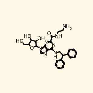 NCCNC(=O)c1nc(NCC(c2ccccc2)c2ccccc2)c2ncn(C3OC(CO)C(O)C3O)c2n1